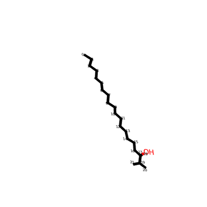 CCCCCCCCCCCCCCCCCC(O)C(C)C